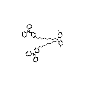 Cc1ccc2c(c1)C(CCCCCCCCc1ccc(N(c3ccccc3)c3ccccc3)cc1)(CCCCCCCCc1ccc(N(c3ccccc3)c3ccccc3)cc1)c1cc(C)ccc1-2